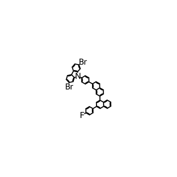 Fc1ccc(-c2cc(-c3ccc4ccc(-c5ccc(-n6c7cc(Br)ccc7c7ccc(Br)cc76)cc5)cc4c3)c3ccccc3c2)cc1